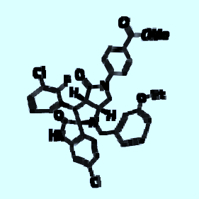 CCOc1cccc(CN2[C@H]3CN(c4ccc(C(=O)OC)cc4)C(=O)[C@H]3[C@H](c3cccc(Cl)c3F)[C@]23C(=O)Nc2cc(Cl)ccc23)c1